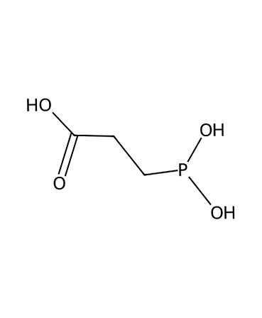 O=C(O)CCP(O)O